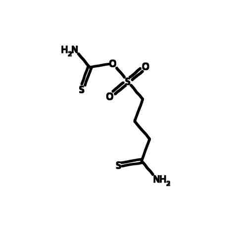 NC(=S)CCCS(=O)(=O)OC(N)=S